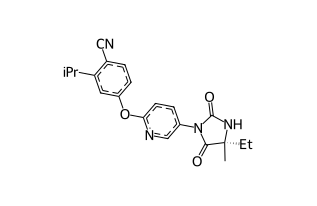 CC[C@@]1(C)NC(=O)N(c2ccc(Oc3ccc(C#N)c(C(C)C)c3)nc2)C1=O